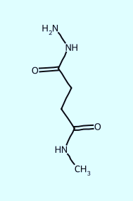 CNC(=O)CCC(=O)NN